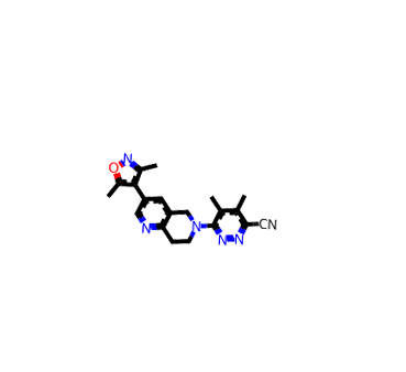 Cc1noc(C)c1-c1cnc2c(c1)CN(c1nnc(C#N)c(C)c1C)CC2